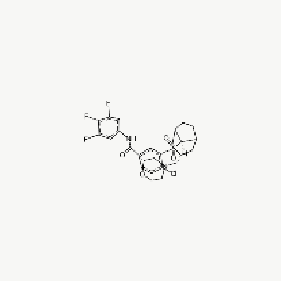 O=C(Nc1cc(F)c(F)c(F)c1)c1ccc(Cl)c(S(=O)(=O)[C@H]2C3CCC2C[C@H](CN2CCOCC2)C3)c1